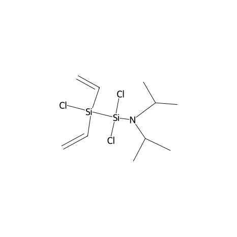 C=C[Si](Cl)(C=C)[Si](Cl)(Cl)N(C(C)C)C(C)C